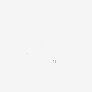 OC1CCCc2nc3ccccc3c(NCc3ccccc3F)c21